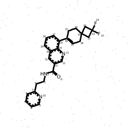 O=C(NCCc1ccccn1)c1cnc2c(C3=CCC4(CC3)CC(F)(F)C4)cccc2c1